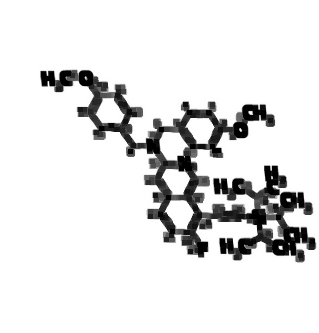 COc1ccc(CN(Cc2ccc(OC)cc2)c2cc3ccc(F)c(C#C[Si](C(C)C)(C(C)C)C(C)C)c3cn2)cc1